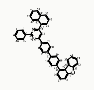 c1ccc(-c2nc(-c3ccc(-c4ccc(-c5cccc6oc7ccccc7c56)cc4)cc3)cc(-c3cccc4ccccc34)n2)cc1